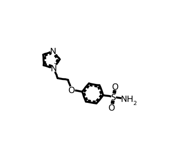 NS(=O)(=O)c1ccc(OCCn2ccnc2)cc1